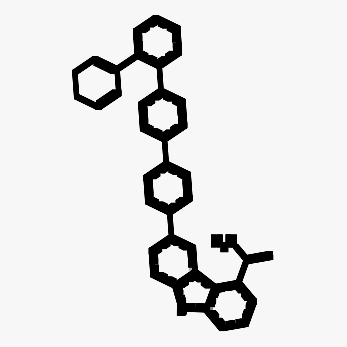 C=C(N)c1cccc2sc3ccc(-c4ccc(-c5ccc(-c6ccccc6C6=CCCC=C6)cc5)cc4)cc3c12